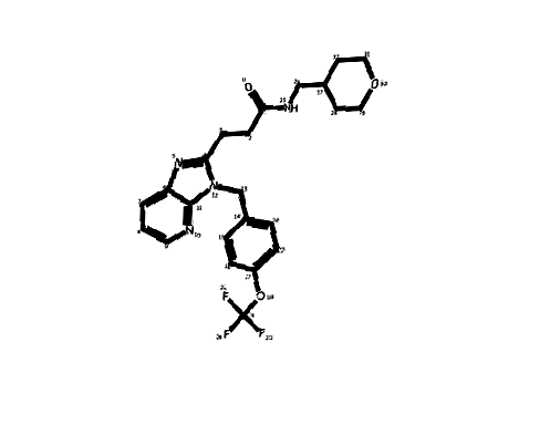 O=C(CCc1nc2cccnc2n1Cc1ccc(OC(F)(F)F)cc1)NCC1CCOCC1